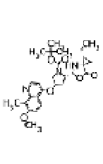 C=C[C@@H]1C[C@@]12NC([C@@H]1CC(Oc3ccnc4c(C)c(OC)ccc34)CN1C(=O)OC(C)(C)C)OC2=O